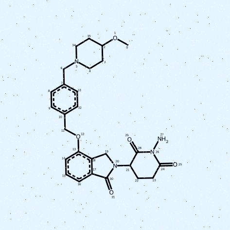 COC1CCN(Cc2ccc(COc3cccc4c3CN(C3CCC(=O)N(N)C3=O)C4=O)cc2)CC1